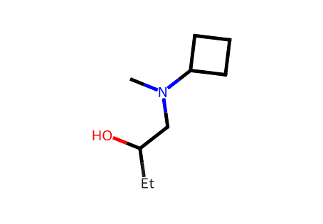 CCC(O)CN(C)C1CCC1